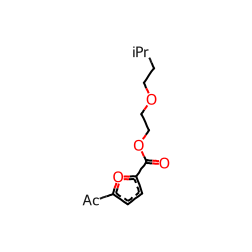 CC(=O)c1ccc(C(=O)OCCOCCC(C)C)o1